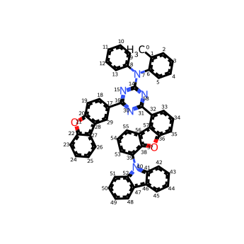 Cc1ccccc1N(c1ccccc1)c1nc(-c2ccc3oc4ccccc4c3c2)nc(-c2cccc3oc4c(-n5c6ccccc6c6ccccc65)cccc4c23)n1